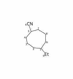 CCC1CCCC(C#N)CCC1